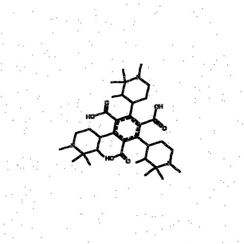 CC1C(c2c(C(=O)O)c(C3CCN(C)C(C)(C)C3C)c(C(=O)O)c(C3CCN(C)C(C)(C)C3C)c2C(=O)O)CCN(C)C1(C)C